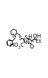 CC[C@H](O)[C@@H]1C(=O)N2C(C(=O)O)=C(SCC3CCCCN3Cc3ccccc3)S[C@H]12